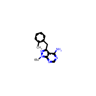 Cc1ccccc1Cc1nn(C(C)(C)C)c2ncnc(N)c12